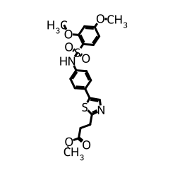 COC(=O)CCc1ncc(-c2ccc(NS(=O)(=O)c3ccc(OC)cc3OC)cc2)s1